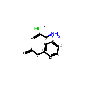 C=CCN.C=CCc1ccccc1.Cl